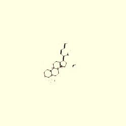 CC(=O)O[C@H]1C[C@@]2(C)C(C[C@@H](O)[C@H]3[C@@]4(C)CC[C@@H](O)[C@@H](N)[C@@H]4CC[C@@]32C)/C1=C(\C=C/C=C(C)C)C(=O)O